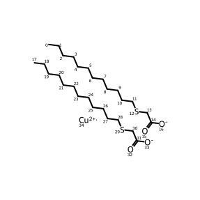 CCCCCCCCCCCCSCC(=O)[O-].CCCCCCCCCCCCSCC(=O)[O-].[Cu+2]